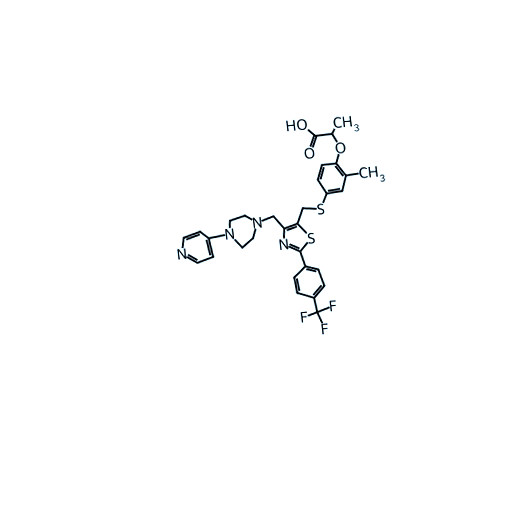 Cc1cc(SCc2sc(-c3ccc(C(F)(F)F)cc3)nc2CN2CCN(c3ccncc3)CC2)ccc1OC(C)C(=O)O